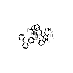 CC1=C(C)C(C)[C]([Hf]([NH]C23CC4CC(CC(F)(C4)C2)C3)[GeH]([c]2ccccc2)[c]2ccccc2)=C1C.c1ccc(-c2ccccc2)cc1